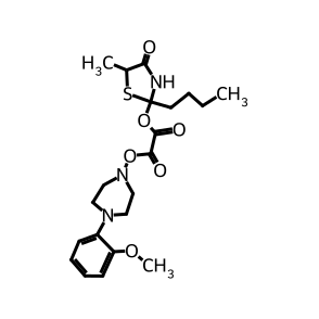 CCCCC1(OC(=O)C(=O)ON2CCN(c3ccccc3OC)CC2)NC(=O)C(C)S1